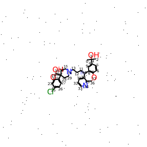 CC(C)(O)c1ccc2c(c1)/C(=C/CCN1CCC(C(=O)O)(c3ccc(Cl)cc3)CC1)c1cccnc1CO2